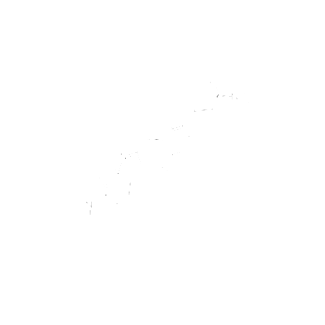 NC(=O)C[CH]c1ccc(Cl)c(Oc2nc3cc([N+](=O)[O-])ccc3s2)c1F